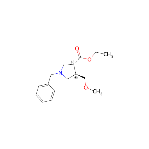 CCOC(=O)[C@H]1CN(Cc2ccccc2)C[C@@H]1COC